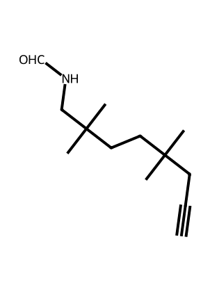 C#CCC(C)(C)CCC(C)(C)CNC=O